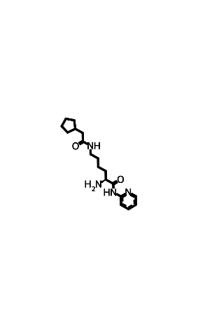 N[C@@H](CCCCNC(=O)CC1CCCC1)C(=O)Nc1ccccn1